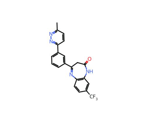 Cc1ccc(-c2cccc(C3=Nc4ccc(C(F)(F)F)cc4NC(=O)C3)c2)nn1